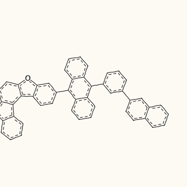 c1cc(-c2ccc3ccccc3c2)cc(-c2c3ccccc3c(-c3ccc4c(c3)oc3ccc5oc6ccccc6c5c34)c3ccccc23)c1